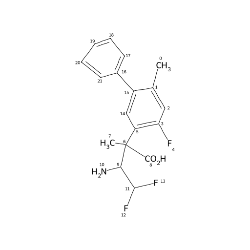 Cc1cc(F)c(C(C)(C(=O)O)C(N)C(F)F)cc1-c1ccccc1